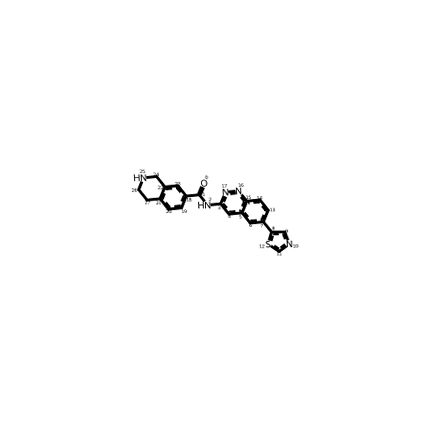 O=C(Nc1cc2cc(-c3cncs3)ccc2nn1)c1ccc2c(c1)CNCC2